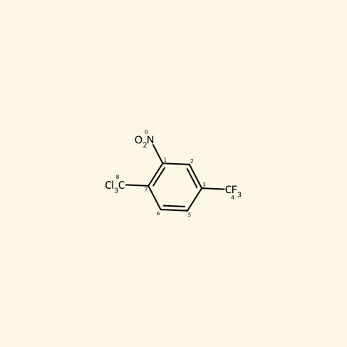 O=[N+]([O-])c1cc(C(F)(F)F)ccc1C(Cl)(Cl)Cl